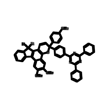 CCC1(CC)c2ccccc2-c2c1c1c(c3cc(OC)c(OC)cc23)OC(c2ccc(OC)cc2)(c2ccc(-c3nc(-c4ccccc4)nc(-c4ccccc4)n3)cc2)C=C1